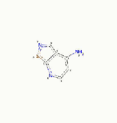 Nc1ccnc2sncc12